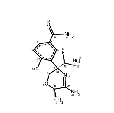 C[C@H]1OC[C@](c2cc(C(N)=O)ccc2F)(C(F)F)N=C1N.Cl